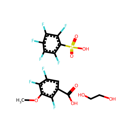 COc1c(F)c(F)cc(C(=O)O)c1F.O=S(=O)(O)c1c(F)c(F)c(F)c(F)c1F.OCCO